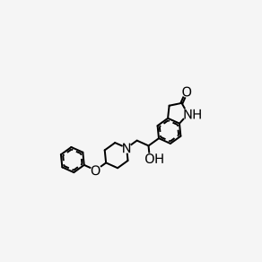 O=C1Cc2cc(C(O)CN3CCC(Oc4ccccc4)CC3)ccc2N1